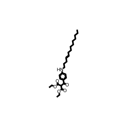 CCCCCCCCCC=CCCCNc1ccc(C(=O)C(C(=O)OCC)C(=O)OCC)cc1